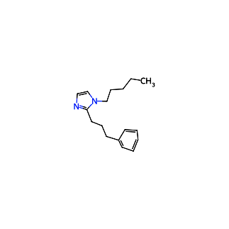 CCCCCn1ccnc1CCCc1ccccc1